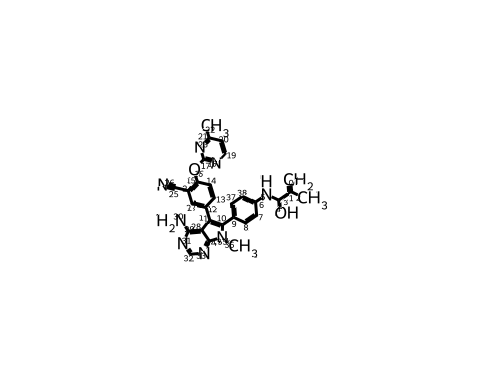 C=C(C)C(O)Nc1ccc(-c2c(-c3ccc(Oc4nccc(C)n4)c(C#N)c3)c3c(N)ncnc3n2C)cc1